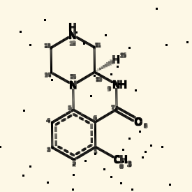 Cc1cccc2c1C(=O)N[C@@H]1CNCCN21